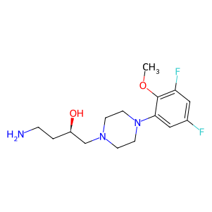 COc1c(F)cc(F)cc1N1CCN(C[C@H](O)CCN)CC1